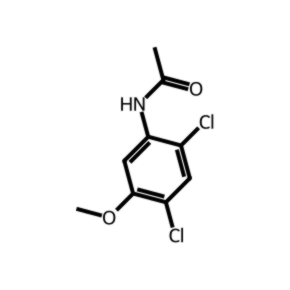 COc1cc(NC(C)=O)c(Cl)cc1Cl